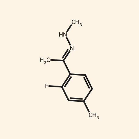 CN/N=C(\C)c1ccc(C)cc1F